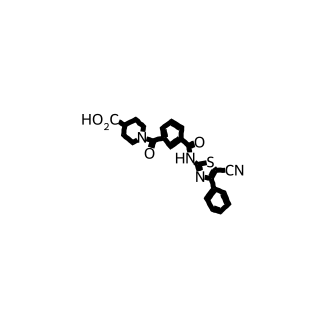 N#Cc1sc(NC(=O)c2cccc(C(=O)N3CCC(C(=O)O)CC3)c2)nc1-c1ccccc1